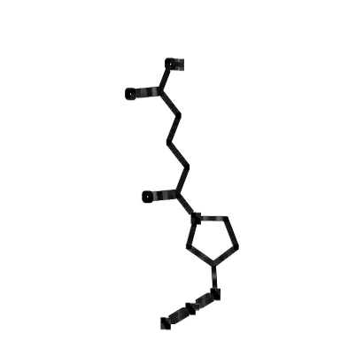 [N-]=[N+]=NC1CCN(C(=O)CCCC(=O)O)C1